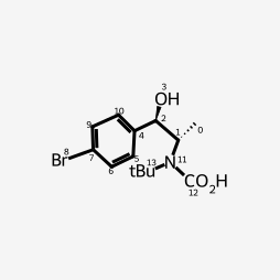 C[C@@H]([C@H](O)c1ccc(Br)cc1)N(C(=O)O)C(C)(C)C